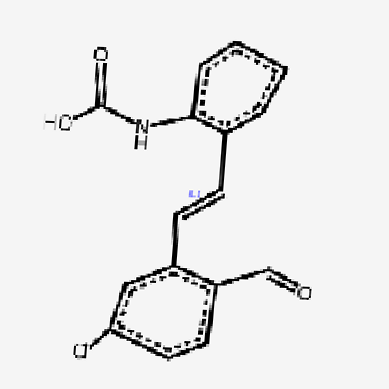 O=Cc1ccc(Cl)cc1/C=C/c1ccccc1NC(=O)O